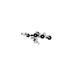 C=CC(=O)Nc1cc2c(Nc3ccc(OCc4ccccn4)c(Cl)c3)ncnc2cc1C#C[C@H]1CCN(C)C1